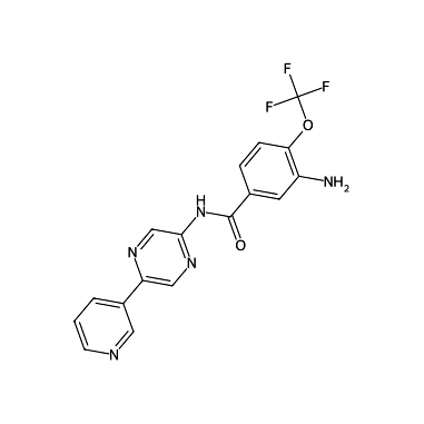 Nc1cc(C(=O)Nc2cnc(-c3cccnc3)cn2)ccc1OC(F)(F)F